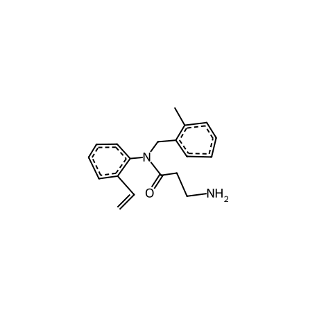 C=Cc1ccccc1N(Cc1ccccc1C)C(=O)CCN